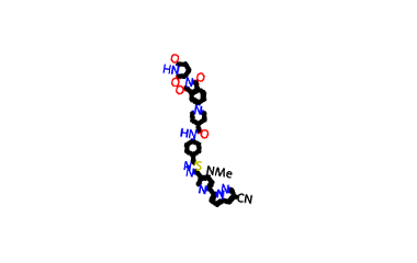 CNc1cc(-c2ccc3cc(C#N)cnn23)ncc1-c1nnc(C2CCC(NC(=O)C3CCN(c4ccc5c(c4)C(=O)N(C4CCC(=O)NC4=O)C5=O)CC3)CC2)s1